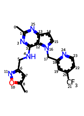 Cc1nc(NCc2cc(C)on2)c2c(ccn2Cc2cc(C(F)(F)F)ccn2)n1